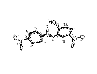 O=[N+]([O-])c1ccc(/N=N/c2cc([N+](=O)[O-])ccc2O)cc1